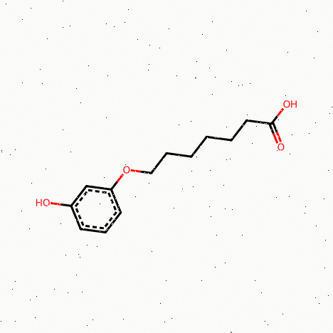 O=C(O)CCCCCCOc1cccc(O)c1